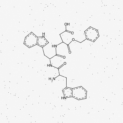 NC(Cc1c[nH]c2ccccc12)C(=O)NC(Cc1c[nH]c2ccccc12)C(=O)NC(CC(=O)O)C(=O)OCc1ccccc1